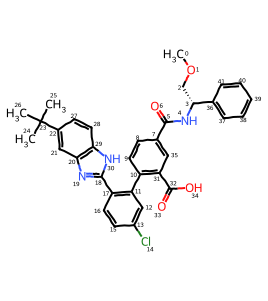 COC[C@@H](NC(=O)c1ccc(-c2cc(Cl)ccc2-c2nc3cc(C(C)(C)C)ccc3[nH]2)c(C(=O)O)c1)c1ccccc1